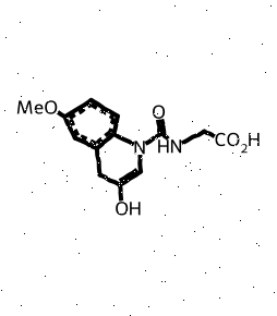 COc1ccc2c(c1)CC(O)=CN2C(=O)NCC(=O)O